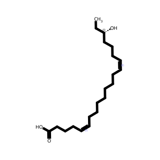 CC[C@H](O)CCC/C=C\CCCCCCC/C=C\CCCC(=O)O